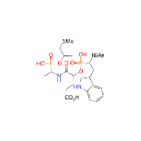 CNC(CC1CNc2ccccc21)P(=O)(O)OC(CCC(=O)O)C(=O)NC(C)P(=O)(O)OC(C)CSC